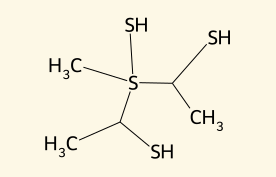 CC(S)S(C)(S)C(C)S